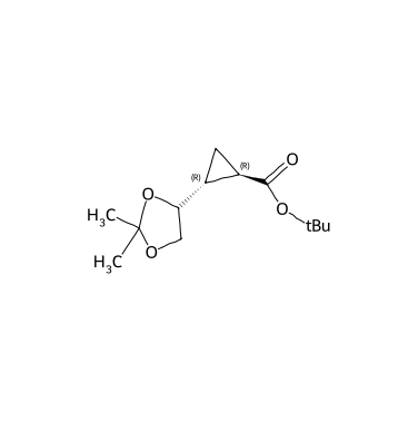 CC(C)(C)OC(=O)[C@@H]1C[C@H]1C1COC(C)(C)O1